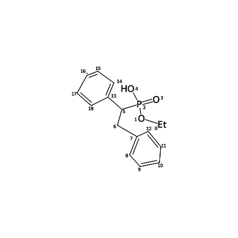 CCOP(=O)(O)C(Cc1ccccc1)c1cc[c]cc1